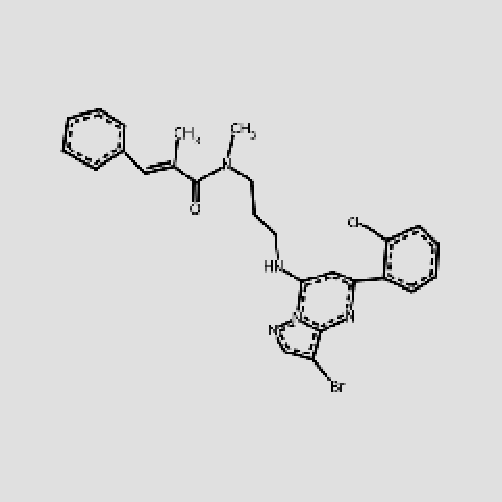 C/C(=C\c1ccccc1)C(=O)N(C)CCCNc1cc(-c2ccccc2Cl)nc2c(Br)cnn12